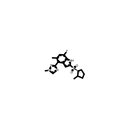 Cc1cc(F)c2[nH]c(S(=O)(=O)[C@H]3CCCC3C)cc2c1-c1ncn(C)n1